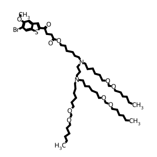 CCCCCCOCOCCCCCCN(CCCCCCOCOCCCCCC)CCCN(CCCCCCOCOCCCCCC)CCCCCCOC(=O)CCC(=O)c1cc2cc(OC)c(Br)cc2s1